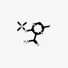 C[Si](C)(C)Oc1ncc(F)nc1C(N)=O